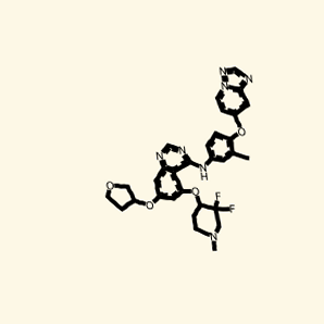 Cc1cc(Nc2ncnc3cc(OC4CCOC4)cc(OC4CCN(C)CC4(F)F)c23)ccc1Oc1ccn2ncnc2c1